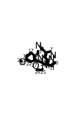 CCN(c1c(C#N)cnn2cccc12)C1(c2cccc(OC)c2)CNCCO1